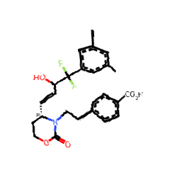 Cc1cc(C)cc(C(F)(F)C(O)C=C[C@H]2CCOC(=O)N2CCc2ccc(C(=O)O)cc2)c1